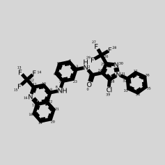 O=C(Nc1cccc(Nc2cc(C(F)(F)F)nc3ccccc23)c1)c1c(C(F)(F)F)nn(-c2ccccc2)c1Cl